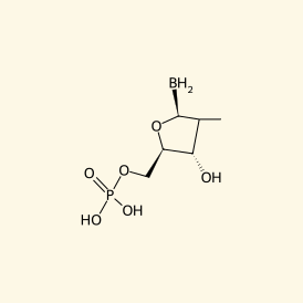 B[C@@H]1O[C@H](COP(=O)(O)O)[C@@H](O)C1C